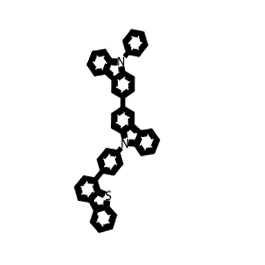 c1ccc(-n2c3ccccc3c3cc(-c4ccc5c(c4)c4ccccc4n5-c4ccc(-c5cccc6c5sc5ccccc56)cc4)ccc32)cc1